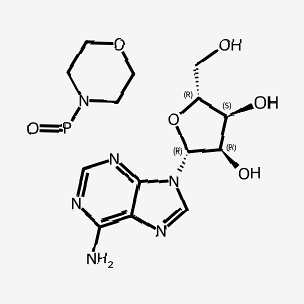 Nc1ncnc2c1ncn2[C@@H]1O[C@H](CO)[C@@H](O)[C@H]1O.O=PN1CCOCC1